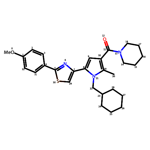 COc1ccc(-c2nc(-c3cc(C(=O)N4CCCCC4)c(C)n3CC3CCCCC3)cs2)cc1